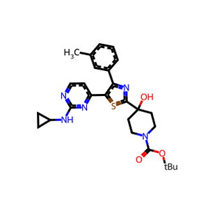 Cc1cccc(-c2nc(C3(O)CCN(C(=O)OC(C)(C)C)CC3)sc2-c2ccnc(NC3CC3)n2)c1